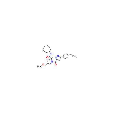 CCc1ccc(-c2cc3n(n2)CC(C)(C(=O)NC2CCCCCCC2)N(CCCOC)C3=O)cc1